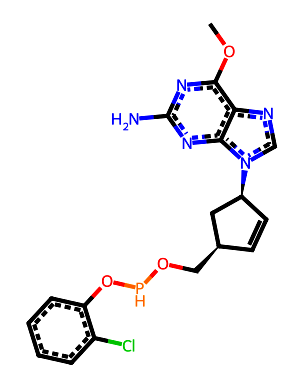 COc1nc(N)nc2c1ncn2[C@H]1C=C[C@@H](COPOc2ccccc2Cl)C1